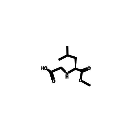 COC(=O)[C@H](CC(C)C)NCC(=O)O